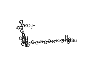 CC(C)[C@H](NC(=O)CCOCCOCCOCCOCCOCCOCCOCCOCCNC(=O)OC(C)(C)C)C(=O)N[C@@H](C)C(=O)Nc1ccc(COc2cc3c(c4ccccc24)[C@H](CCl)CN3C(=O)O)cc1